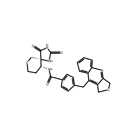 O=C1NC(=O)[C@@]2(COCC[C@H]2NC(=O)c2ccc(Cc3c4c(nc5ccccc35)COC4)cc2)N1